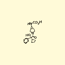 O=C(O)NC1C2CN(C(=O)C(O)(c3ccccc3)C3CCC3)CC21